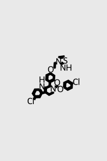 N=c1sccn1CCOC1C=CC(C2c3[nH]c4ccc(Cl)cc4c3CCN2C(=O)Oc2ccc(Cl)cc2)=CC1